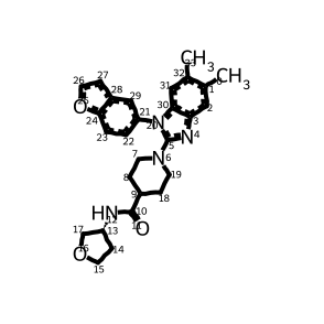 Cc1cc2nc(N3CCC(C(=O)N[C@@H]4CCOC4)CC3)n(-c3ccc4occc4c3)c2cc1C